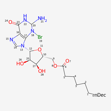 CCCCCCCCCCCCCCCC(=O)OC[C@H]1O[C@@H](n2cnc3c2N(Br)C(N)NC3=O)[C@H](O)[C@@H]1O